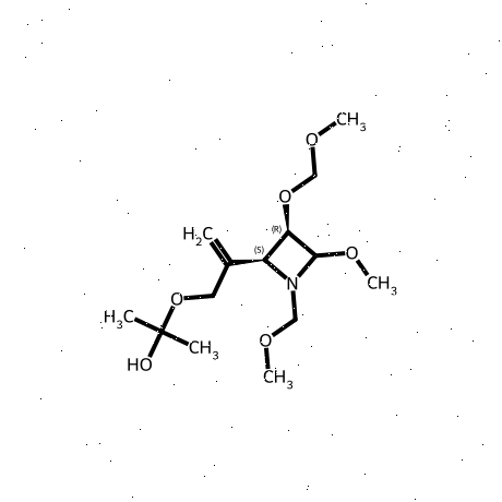 C=C(COC(C)(C)O)[C@H]1[C@@H](OCOC)C(OC)N1COC